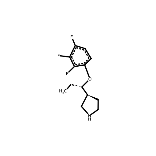 CC[C@H](Oc1ccc(F)c(F)c1F)[C@H]1CCNC1